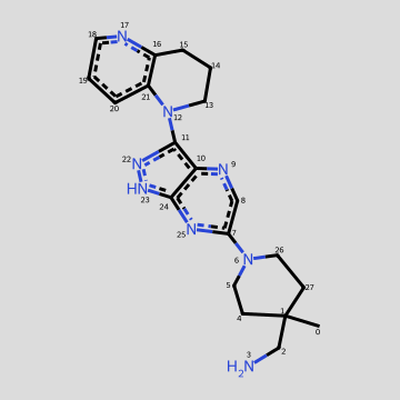 CC1(CN)CCN(c2cnc3c(N4CCCc5ncccc54)n[nH]c3n2)CC1